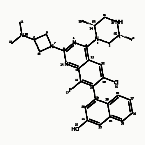 C[C@@H]1CN(c2nc(N3CC(N(C)C)C3)nc3c(F)c(-c4cc(O)cc5ccccc45)c(Cl)cc23)[C@H](C)CN1